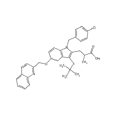 CC(Cc1c(SC(C)(C)C)c2cc(OCc3ccc4ccccc4n3)ccc2n1Cc1ccc(Cl)cc1)C(=O)O